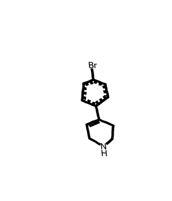 Brc1ccc(C2=CCNCC2)cc1